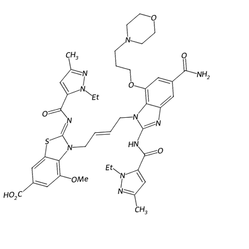 CCn1nc(C)cc1C(=O)/N=c1\sc2cc(C(=O)O)cc(OC)c2n1C/C=C/Cn1c(NC(=O)c2cc(C)nn2CC)nc2cc(C(N)=O)cc(OCCCN3CCOCC3)c21